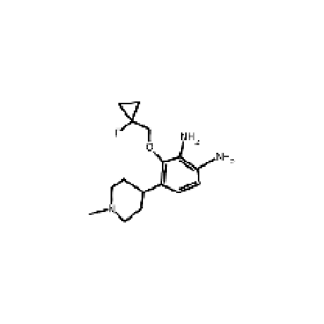 CN1CCC(c2ccc(N)c(N)c2OCC2(F)CC2)CC1